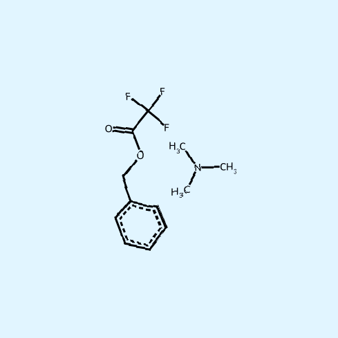 CN(C)C.O=C(OCc1ccccc1)C(F)(F)F